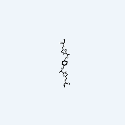 C=CC(=O)OCC1CSC(C(C)SCc2ccc(CSC(C)C3SCC(COC(=O)C=C)S3)cc2)S1